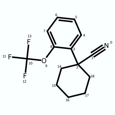 N#CC1(c2ccccc2OC(F)(F)F)CCCCC1